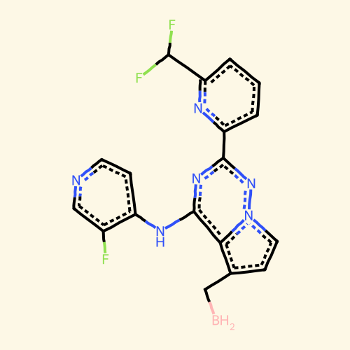 BCc1ccn2nc(-c3cccc(C(F)F)n3)nc(Nc3ccncc3F)c12